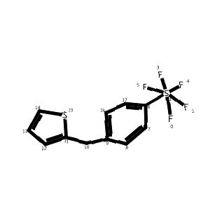 FS(F)(F)(F)(F)c1ccc(Cc2cccs2)cc1